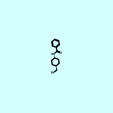 CC(C)C[C@H]1CC[C@H](NC(=O)c2ccccc2)CC1